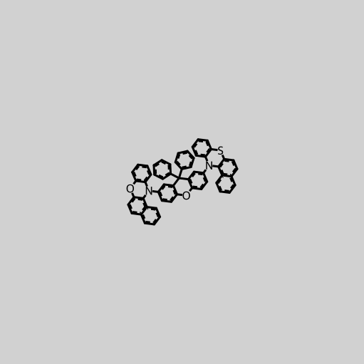 c1ccc(C2(c3ccccc3)c3cc(N4c5ccccc5Oc5ccc6ccccc6c54)ccc3Oc3ccc(N4c5ccccc5Sc5ccc6ccccc6c54)cc32)cc1